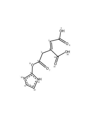 O=C(O)C=C(CC(=O)Oc1ncc[nH]1)C(=O)O